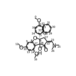 COc1ccc([C@@]23Oc4cc(OC)cc(OC)c4C2(O)C(=O)/C(=C\N(C)C)[C@H]3c2ccccc2)cc1